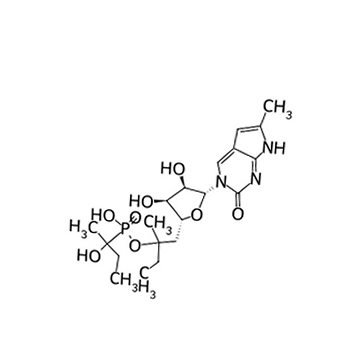 CCC(C)(C[C@H]1O[C@@H](n2cc3cc(C)[nH]c3nc2=O)[C@H](O)[C@@H]1O)OP(=O)(O)C(C)(O)CC